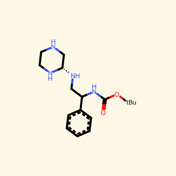 CC(C)(C)OC(=O)NC(CN[C@H]1CNCCN1)c1ccccc1